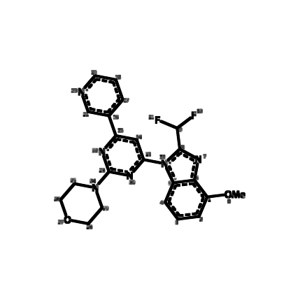 COc1cccc2c1nc(C(F)F)n2-c1cc(-c2cccnc2)nc(N2CCOCC2)n1